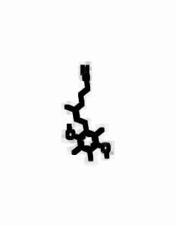 COc1c(C)c(C)c(OC)c(C/C=C(/C)CCCC#N)c1C